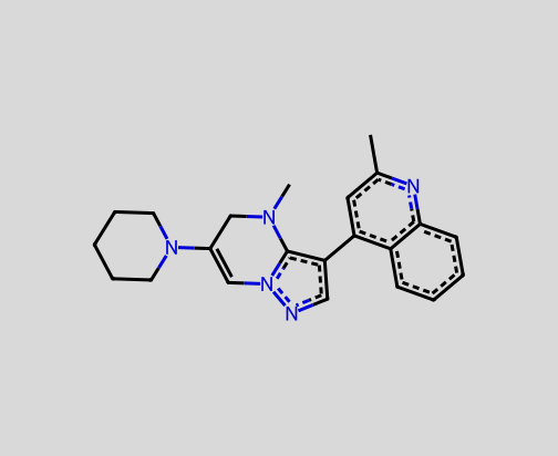 Cc1cc(-c2cnn3c2N(C)CC(N2CCCCC2)=C3)c2ccccc2n1